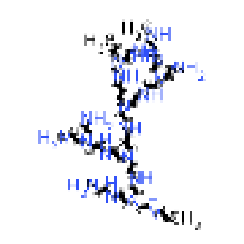 CCCNCCN(CCNCCN)CCNCCN(CCCNCCN(CCCNCN(CCC)CCN)CCNCCN(CCN)CCNCCNC)CCNCCN(CCN)CCN